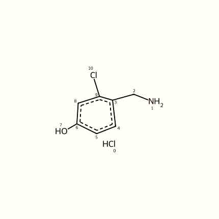 Cl.NCc1ccc(O)cc1Cl